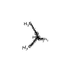 CCCCCCCCCCCCOC(=O)CC[C@H](NC(=O)CCCCCCCCCCC)C(=O)OC(C)CCCCCC